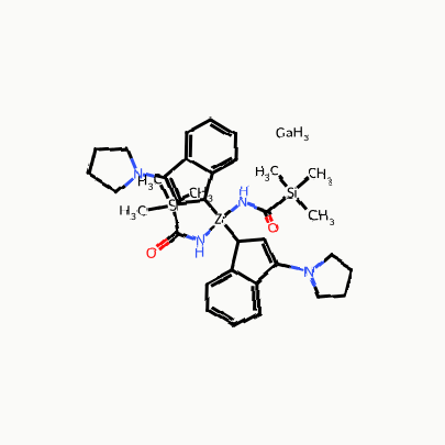 C[Si](C)(C)C(=O)[NH][Zr]([NH]C(=O)[Si](C)(C)C)([CH]1C=C(N2CCCC2)c2ccccc21)[CH]1C=C(N2CCCC2)c2ccccc21.[GaH3]